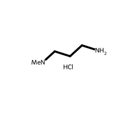 CNCCCN.Cl